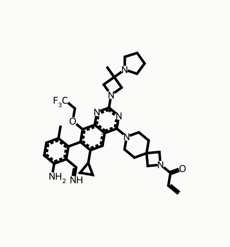 C=CC(=O)N1CC2(CCN(c3nc(N4CC(C)(N5CCCC5)C4)nc4c(OCC(F)(F)F)c(-c5c(C)ccc(N)c5C=N)c(C5CC5)cc34)CC2)C1